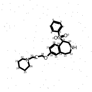 O=S(=O)(c1ccccc1)C1CNCCc2cc(OCCCN3CCCCC3)ccc21